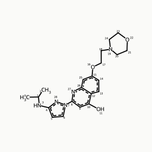 CC(C)Nc1ccn(-c2cc(O)c3ccc(OCCN4CCOCC4)cc3n2)n1